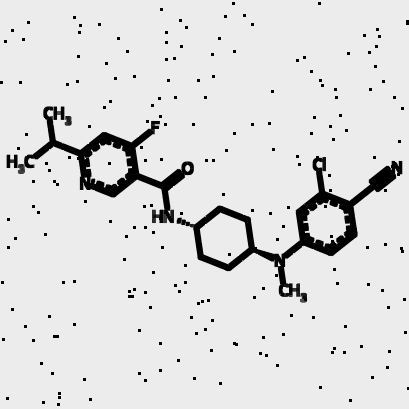 CC(C)c1cc(F)c(C(=O)N[C@H]2CC[C@H](N(C)c3ccc(C#N)c(Cl)c3)CC2)cn1